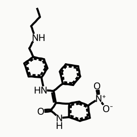 CCCNCc1ccc(N/C(=C2\C(=O)Nc3ccc([N+](=O)[O-])cc32)c2ccccc2)cc1